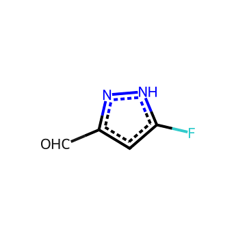 O=Cc1cc(F)[nH]n1